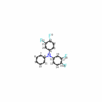 Fc1ccc(N(c2ccccc2)c2ccc(F)c(F)c2)cc1F